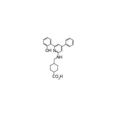 O=C(O)C1CCC(CNc2cc(-c3ccccc3)cc(-c3ccccc3O)n2)CC1